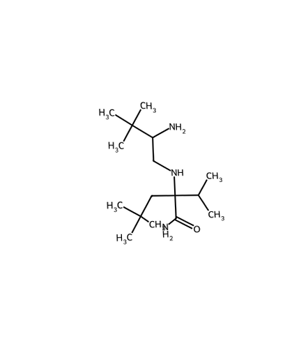 CC(C)C(CC(C)(C)C)(NCC(N)C(C)(C)C)C(N)=O